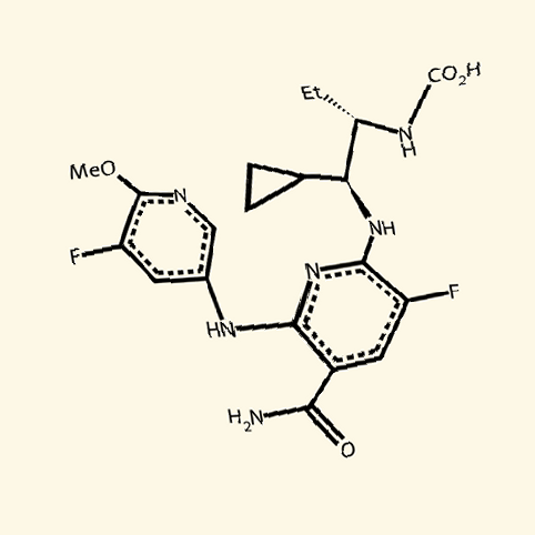 CC[C@H](NC(=O)O)[C@@H](Nc1nc(Nc2cnc(OC)c(F)c2)c(C(N)=O)cc1F)C1CC1